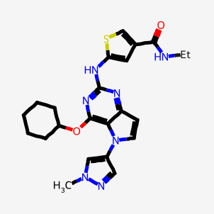 CCNC(=O)c1csc(Nc2nc(OC3CCCCC3)c3c(ccn3-c3cnn(C)c3)n2)c1